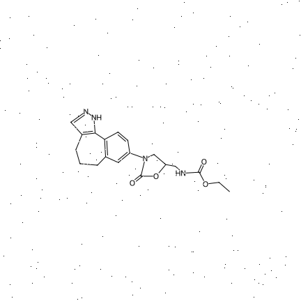 CCOC(=O)NCC1CN(c2ccc3c(c2)CCCc2cn[nH]c2-3)C(=O)O1